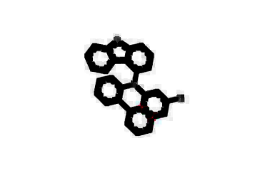 Clc1cccc(N(c2ccccc2-c2ccccc2)c2cccc3oc4ccccc4c23)c1